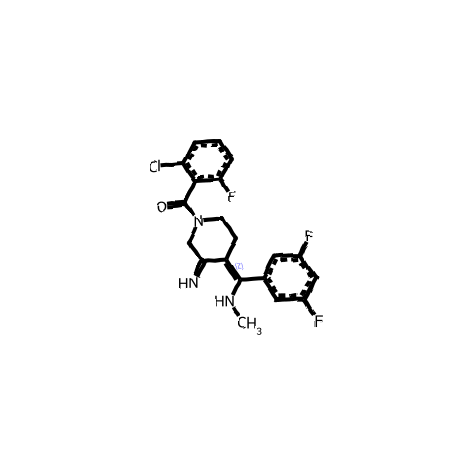 CN/C(=C1/CCN(C(=O)c2c(F)cccc2Cl)CC1=N)c1cc(F)cc(F)c1